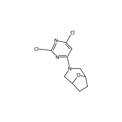 Clc1cc(N2CC3CCC(C2)O3)nc(Cl)n1